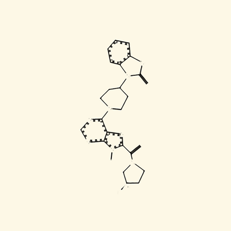 CCn1c(C(=O)N2CC[C@@H](F)C2)nc2c(N3CCC(N4C(=O)[N]c5ccccc54)CC3)ncnc21